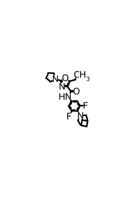 CCc1oc(N2CCCC2)nc1C(=O)Nc1cc(F)c(N2CC3CC(C3)C2)c(F)c1